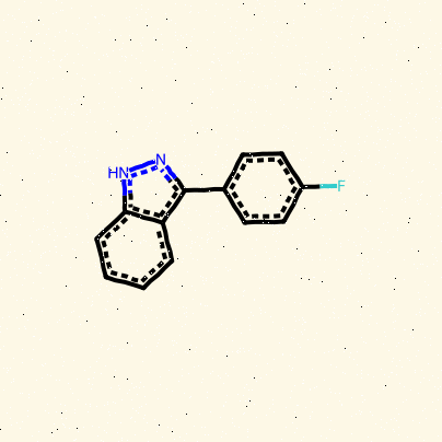 Fc1ccc(-c2n[nH]c3ccccc23)cc1